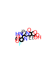 CC[C@@]1(O)C(=O)OCc2c1cc1n(c2=O)Cc2c-1nc1cc(F)c3c(c1c2NC(C)C)OCCO3